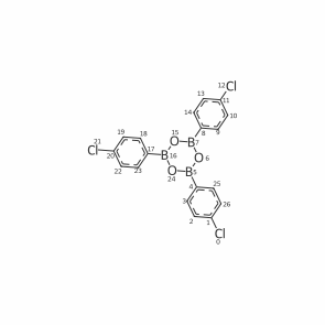 Clc1ccc(B2OB(c3ccc(Cl)cc3)OB(c3ccc(Cl)cc3)O2)cc1